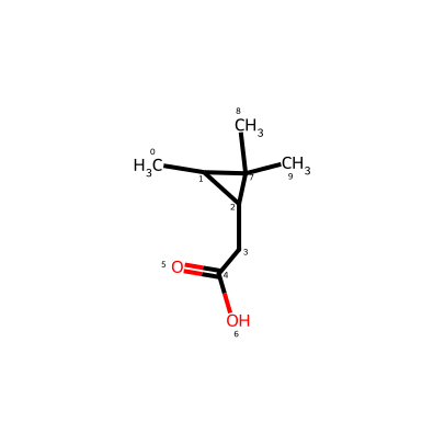 CC1C(CC(=O)O)C1(C)C